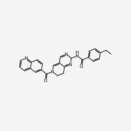 CCc1ccc(C(=O)NC2N=CC3=CN(C(=O)c4ccc5ncccc5c4)CCC3=N2)cc1